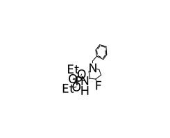 CCOP(=O)(N[C@@H]1CN(Cc2ccccc2)CC[C@H]1F)OCC